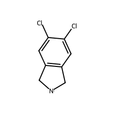 Clc1cc2c(cc1Cl)C[N]C2